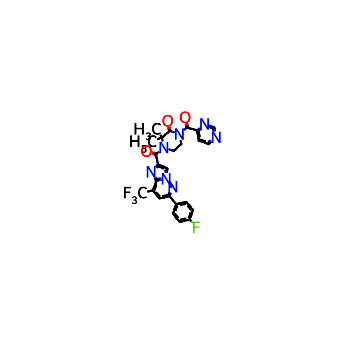 CC1(C)C(=O)N(C(=O)c2ccncn2)CCN1C(=O)c1cn2nc(-c3ccc(F)cc3)cc(C(F)(F)F)c2n1